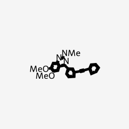 CNc1nc(-c2cccc(C#Cc3ccccc3)c2)c2cc(OC)c(OC)cc2n1